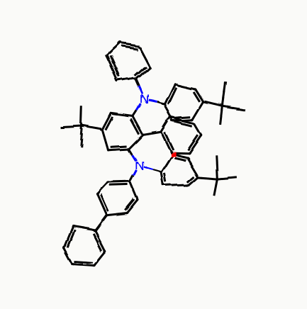 CC(C)(C)c1ccc(N(c2ccccc2)c2cc(C(C)(C)C)cc(N(c3ccc(-c4ccccc4)cc3)c3ccc(C(C)(C)C)cc3)c2-c2ccccc2)cc1